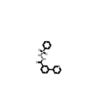 O=C(NNS(=O)(=O)c1ccccc1)c1cccc(-c2cccnc2)c1